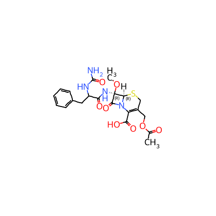 CO[C@]1(NC(=O)C(Cc2ccccc2)NC(N)=O)C(=O)N2C(C(=O)O)=C(COC(C)=O)CS[C@@H]21